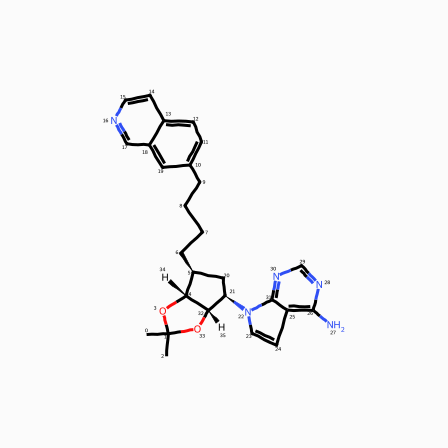 CC1(C)O[C@@H]2[C@@H](CCCCc3ccc4ccncc4c3)C[C@@H](n3ccc4c(N)ncnc43)[C@@H]2O1